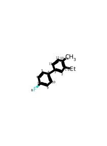 CCc1cc(-c2ccc(F)cc2)ccc1C